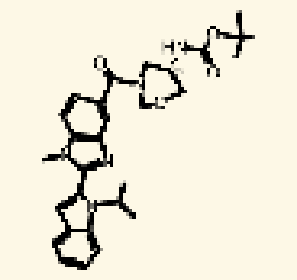 CC(C)n1c(-c2nc3cc(C(=O)N4CCC[C@@H](NC(=O)OC(C)(C)C)C4)ccc3n2C)cc2ccccc21